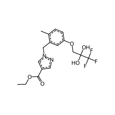 CCOC(=O)c1cnn(Cc2cc(OCC(O)(O)C(F)(F)F)ccc2C)c1